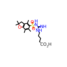 Cc1c(C)c(S(=O)(=O)NC(=N)NCCCCC(=O)O)c(C)c2c1OC(C)(C)C2